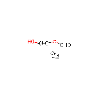 C.CC.CO.O=COC=O